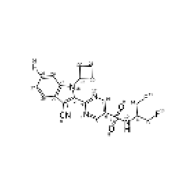 N#Cc1c(-c2ncc(S(=O)(=O)NC(CF)CF)cn2)n(C2CCC2)c2cc(F)ccc12